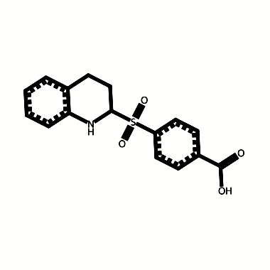 O=C(O)c1ccc(S(=O)(=O)C2CCc3ccccc3N2)cc1